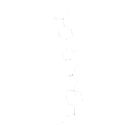 N=C(N)c1ccc([C@@H]2C[C@H](CC(=O)NC34CC[C@@H](C(=O)CCC(=O)O)N(CC3)CC4)ON2)cc1